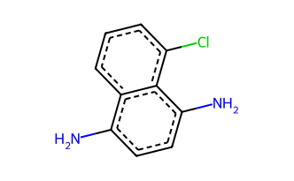 Nc1ccc(N)c2c(Cl)cccc12